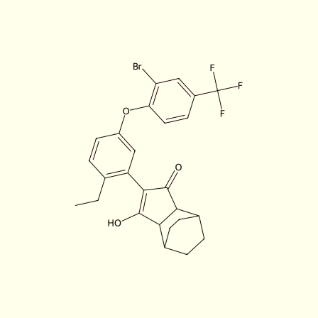 CCc1ccc(Oc2ccc(C(F)(F)F)cc2Br)cc1C1=C(O)C2C3CCC(CC3)C2C1=O